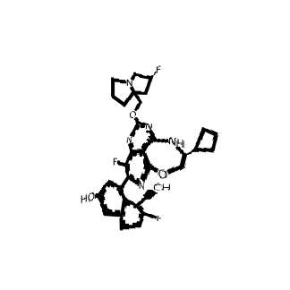 C#Cc1c(F)ccc2cc(O)cc(-c3nc4c5c(nc(OCC67CCCN6C[C@H](F)C7)nc5c3F)N[C@@H](C3CCC3)CO4)c12